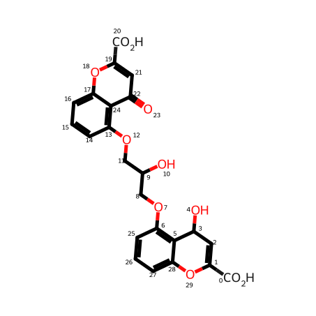 O=C(O)C1=CC(O)c2c(OCC(O)COc3cccc4oc(C(=O)O)cc(=O)c34)cccc2O1